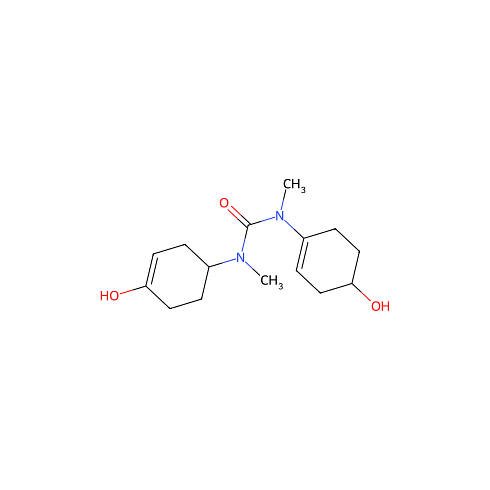 CN(C(=O)N(C)C1CC=C(O)CC1)C1=CCC(O)CC1